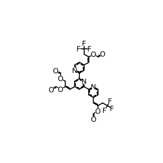 O=COC/C(=C\c1cc(-c2cc(/C=C(\CC(F)(F)F)OC=O)ccn2)nc(-c2cc(/C=C(\CC(F)(F)F)OC=O)ccn2)c1)OC=O